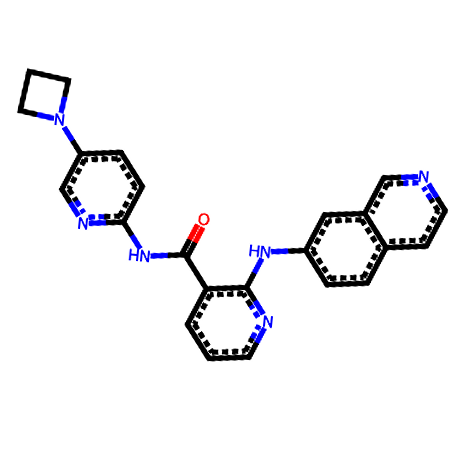 O=C(Nc1ccc(N2CCC2)cn1)c1cccnc1Nc1ccc2ccncc2c1